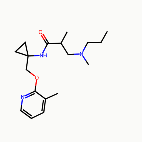 CCCN(C)CC(C)C(=O)NC1(COc2ncccc2C)CC1